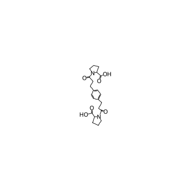 O=C(O)C1CCCN1C(=O)CCc1ccc(CCC(=O)N2CCCC2C(=O)O)cc1